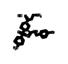 CC(C)c1ccc(CNC(=O)[C@H]2CN(C(=O)CCN)CCN2S(=O)(=O)c2ccc(C(F)(F)F)cc2)cc1.Cl